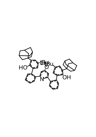 CCOc1cc(-c2ccccc2-c2cc(C(C)(C)C)cc(C34CC5CC(CC(C5)C3)C4)c2O)nc(-c2ccccc2-c2cc(C(C)(C)C)cc(C34CC5CC(CC(C5)C3)C4)c2O)c1